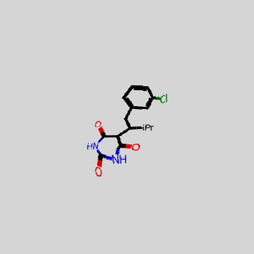 CC(C)C(Cc1cccc(Cl)c1)C1C(=O)NC(=O)NC1=O